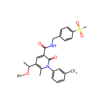 Cc1c(C(C)OC(C)C)cc(C(=O)NCc2ccc(S(C)(=O)=O)cc2)c(=O)n1-c1cccc(C(F)(F)F)c1